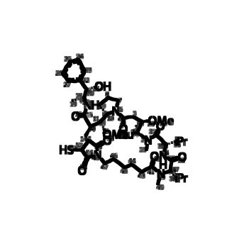 CC[C@H](C)[C@@H]([C@@H](CC(=O)N1CCC[C@H]1[C@H](OC)[C@@H](C)C(=O)N[C@H](C)[C@@H](O)c1ccccc1)OC)N(C)C(=O)[C@@H](NC(=O)[C@H](C(C)C)N(C)C(=O)CCCCCN1C(=O)CC(S)C1=O)C(C)C